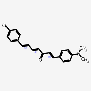 CN(C)c1ccc(/C=C/C(=O)/C=C/C=C/c2ccc(Cl)cc2)cc1